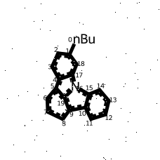 CCCCc1ccc2c3cccc4c5ccccc5n(c2c1)c43